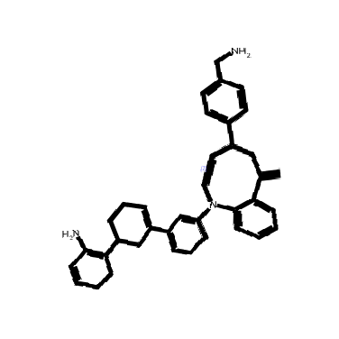 C=C1CC(c2ccc(CN)cc2)/C=C\N(C2=CC(C3=CCCC(C4=C(N)C=CCC4)C3)=CCC2)c2ccccc21